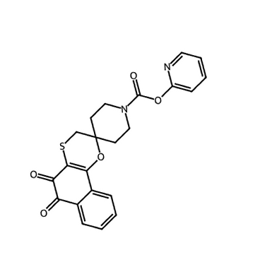 O=C1C(=O)c2ccccc2C2=C1SCC1(CCN(C(=O)Oc3ccccn3)CC1)O2